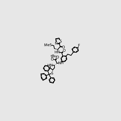 CSCC[C@H](NC(=O)c1cc(NC(C(=O)OC(C)(C)C)[C@@H]2C[C@H](SC(c3ccccc3)(c3ccccc3)c3ccccc3)CN2)ccc1CCc1ccc(F)cc1)C(=O)c1nccs1